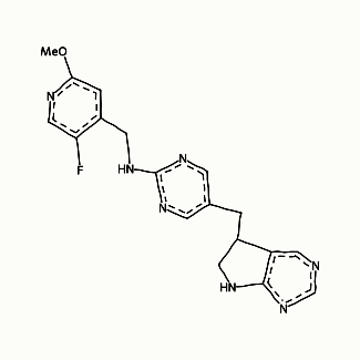 COc1cc(CNc2ncc(CC3CNc4ncncc43)cn2)c(F)cn1